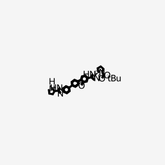 CC(C)(C)OC(=O)N1CCC[C@H]1c1ncc(-c2ccc3c(c2)oc2cc(-c4ccc5nc(C6CCCN6)[nH]c5c4)ccc23)[nH]1